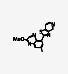 COc1cnc2c(-c3nc4cnccc4s3)cc(C)cc2n1